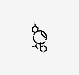 C[C@@H]1C[C@]2(COCCN2)[C@H]2COC3CCC(CC3)C3CC(F)CCC3OCCN12